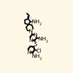 C/C=C1\CCC2(CCN(c3cnc(Sc4ccnc(N)c4Cl)c(N)n3)CC2)[C@@H]1N